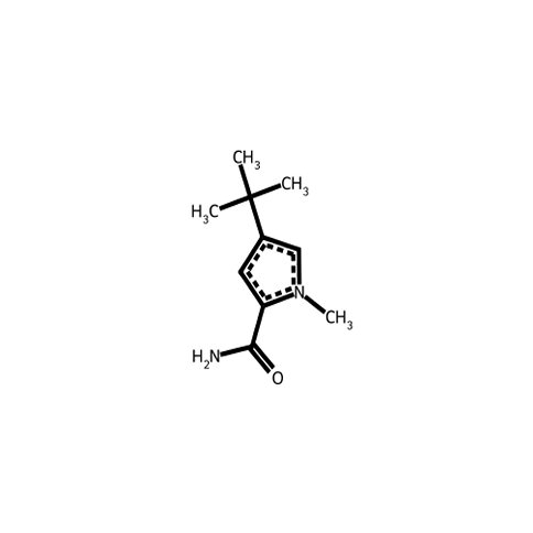 Cn1cc(C(C)(C)C)cc1C(N)=O